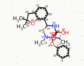 CCP(=O)(Oc1ccccc1)N(C)SC(NC(=O)O)c1cccc2c1OC(C)(C)C2